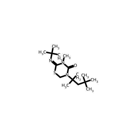 CN1C(=O)N(C(C)(C)CC(C)(C)C)CSC1=NC(C)(C)C